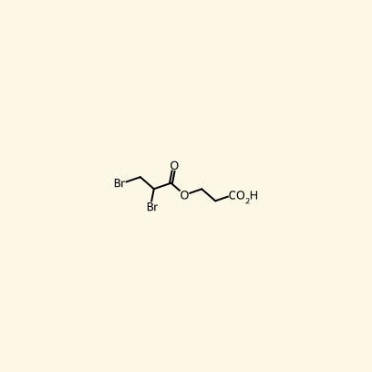 O=C(O)CCOC(=O)C(Br)CBr